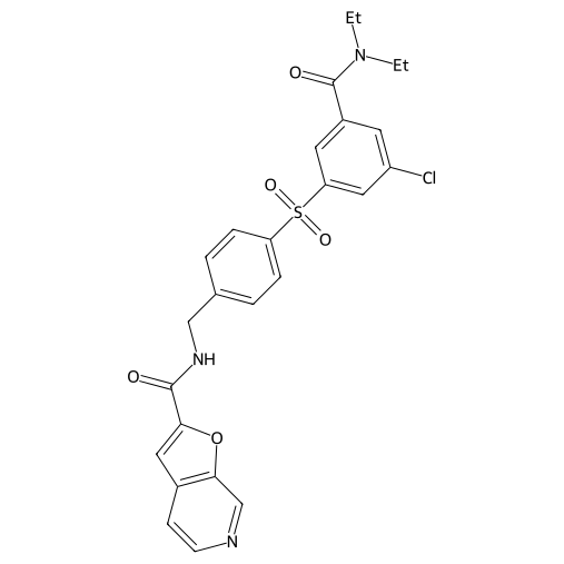 CCN(CC)C(=O)c1cc(Cl)cc(S(=O)(=O)c2ccc(CNC(=O)c3cc4ccncc4o3)cc2)c1